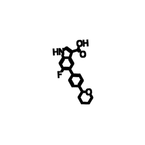 O=C(O)c1c[nH]c2cc(F)c(-c3ccc(C4CCCCO4)cc3)cc12